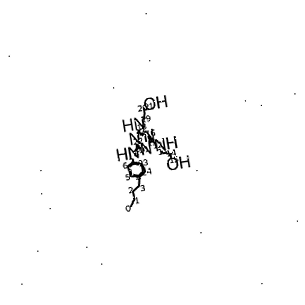 CCCCc1ccc(Nc2nc(NCCO)nc(NCCO)n2)cc1